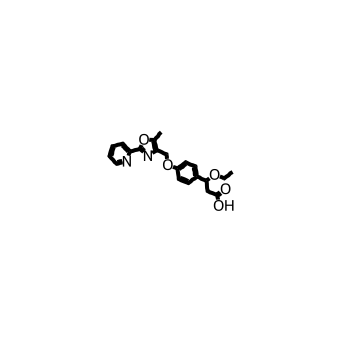 CCOC(CC(=O)O)c1ccc(OCc2nc(-c3ccccn3)oc2C)cc1